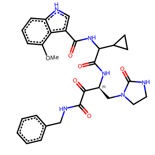 COc1cccc2[nH]cc(C(=O)NC(C(=O)N[C@@H](CN3CCNC3=O)C(=O)C(=O)NCc3ccccc3)C3CC3)c12